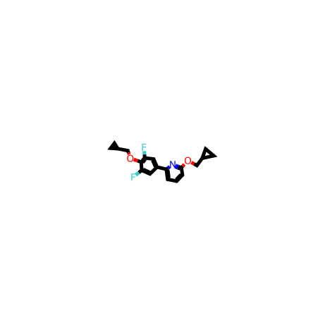 Fc1cc(-c2cccc(OCC3CC3)n2)cc(F)c1OCC1CC1